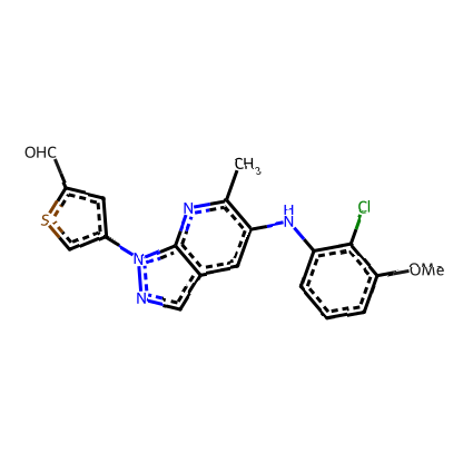 COc1cccc(Nc2cc3cnn(-c4csc(C=O)c4)c3nc2C)c1Cl